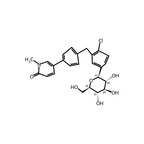 Cn1cc(-c2ccc(Cc3cc([C@@H]4O[C@H](CO)[C@@H](O)[C@H](O)[C@H]4O)ccc3Cl)cc2)ccc1=O